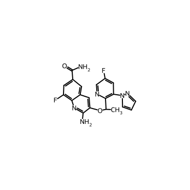 CC(Oc1cc2cc(C(N)=O)cc(F)c2nc1N)c1ncc(F)cc1-n1cccn1